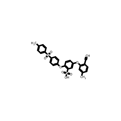 C#Cc1ccc(C)cc1Oc1ccc(Oc2ccc(S(=O)(=O)c3ccc(C)cc3)cc2)c(S(=O)(=O)O)c1